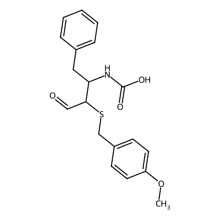 COc1ccc(CSC(C=O)C(Cc2ccccc2)NC(=O)O)cc1